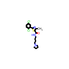 Cc1nc(-c2cc(Cl)ccc2Cl)sc1C(=O)NCCCCN1CCCC1